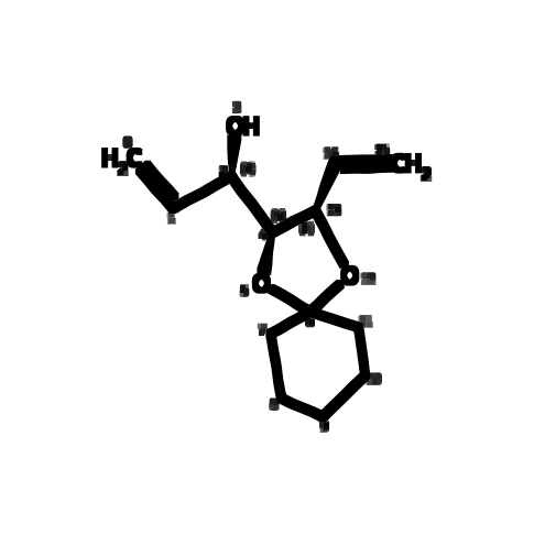 C=C[C@@H](O)[C@@H]1OC2(CCCCC2)O[C@@H]1C=C